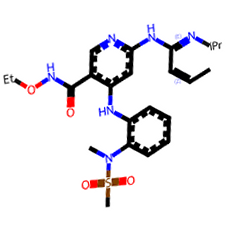 C/C=C\C(=N/C(C)C)Nc1cc(Nc2ccccc2N(C)S(C)(=O)=O)c(C(=O)NOCC)cn1